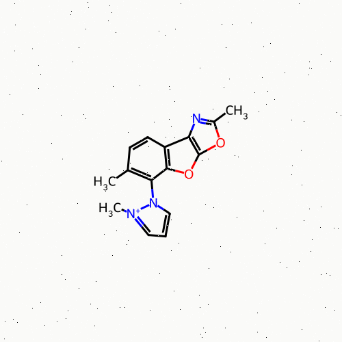 Cc1nc2c(o1)oc1c(-n3ccc[n+]3C)c(C)ccc12